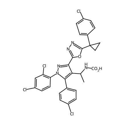 CC(NC(=O)O)c1c(-c2nnc(C3(c4ccc(Cl)cc4)CC3)o2)nn(-c2ccc(Cl)cc2Cl)c1-c1ccc(Cl)cc1